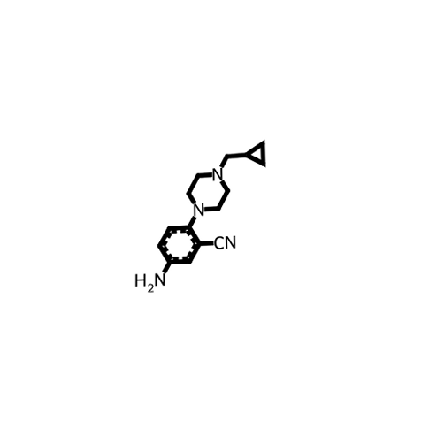 N#Cc1cc(N)ccc1N1CCN(CC2CC2)CC1